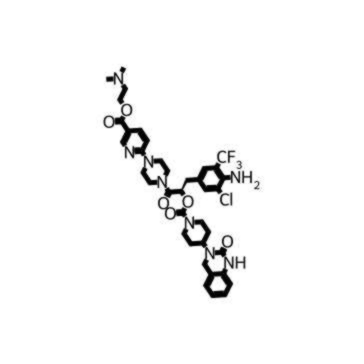 CN(C)CCOC(=O)c1ccc(N2CCN(C(=O)[C@@H](Cc3cc(Cl)c(N)c(C(F)(F)F)c3)OC(=O)N3CCC(N4Cc5ccccc5NC4=O)CC3)CC2)nc1